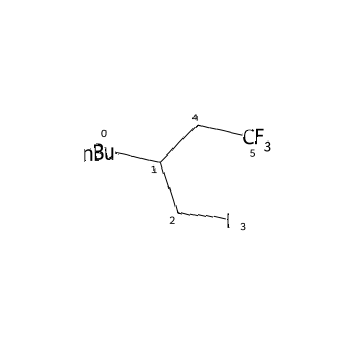 CCCCC(CI)CC(F)(F)F